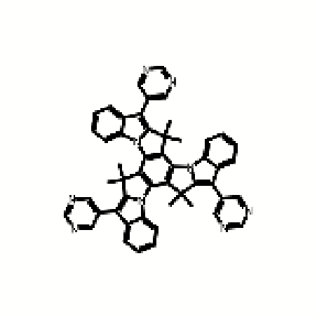 CC1(C)c2c3c(c4c(c2-n2c1c(-c1cncnc1)c1ccccc12)C(C)(C)c1c(-c2cncnc2)c2ccccc2n1-4)C(C)(C)c1c(-c2cncnc2)c2ccccc2n1-3